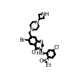 CC[S+]([O-])c1ccc(Cl)cc1Nn1cnc2cc(CN3CCN(C4CNC4)CC3)c(Br)cc2c1=O